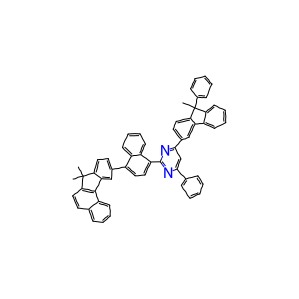 CC1(C)c2ccc(-c3ccc(-c4nc(-c5ccccc5)cc(-c5ccc6c(c5)-c5ccccc5C6(C)c5ccccc5)n4)c4ccccc34)cc2-c2c1ccc1ccccc21